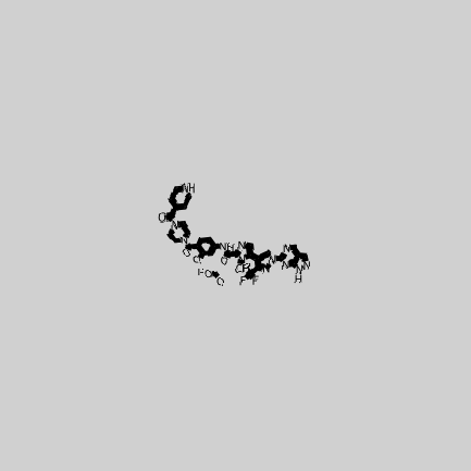 Cn1c(-c2cn(-c3ncc4cn[nH]c4n3)nc2C(F)(F)F)cnc1C(=O)Nc1ccc(C(=O)N2CCN(C(=O)C3CCNCC3)CC2)c(Cl)c1.O=CO